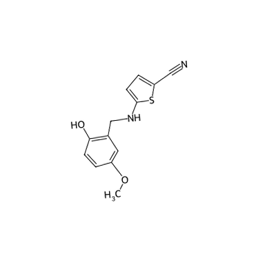 COc1ccc(O)c(CNc2ccc(C#N)s2)c1